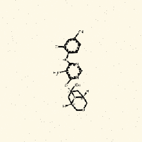 Cc1c(Nc2ccc(C#N)cc2Cl)ncnc1O[C@H]1C[C@H]2COC[C@@H](C1)N2CC(C)(C)C